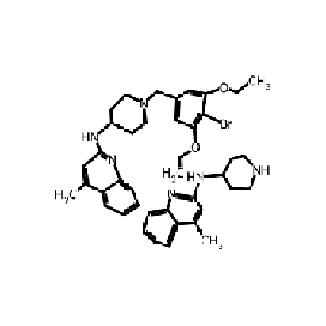 CCOc1cc(CN2CCC(Nc3cc(C)c4ccccc4n3)CC2)cc(OCC)c1Br.Cc1cc(NC2CCNCC2)nc2ccccc12